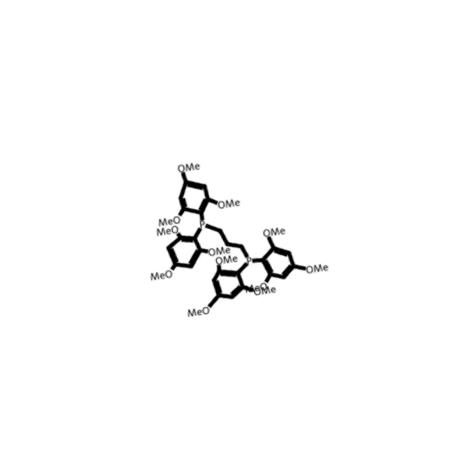 COc1cc(OC)c(P(CCCP(c2c(OC)cc(OC)cc2OC)c2c(OC)cc(OC)cc2OC)c2c(OC)cc(OC)cc2OC)c(OC)c1